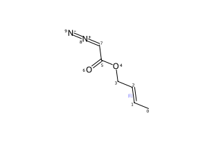 C/C=C/COC(=O)C=[N+]=[N-]